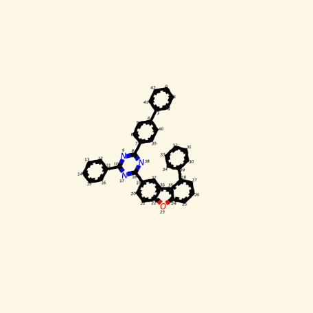 c1ccc(-c2ccc(-c3nc(-c4ccccc4)nc(-c4ccc5oc6cccc(-c7ccccc7)c6c5c4)n3)cc2)cc1